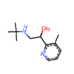 Cc1cccnc1C(O)CNC(C)(C)C